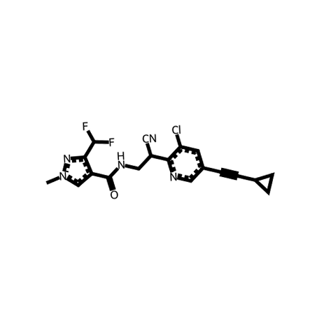 Cn1cc(C(=O)NCC(C#N)c2ncc(C#CC3CC3)cc2Cl)c(C(F)F)n1